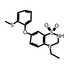 CCN1CNS(=O)(=O)c2cc(Oc3ccccc3SC)ccc21